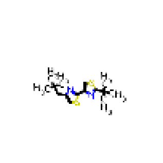 CC(C)(C)Cc1csc(-c2csc(C(C)(C)C)n2)n1